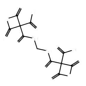 O=C(O)C1(C(=O)NCNC(=O)C2(C(=O)O)C(=O)OC2=O)C(=O)OC1=O